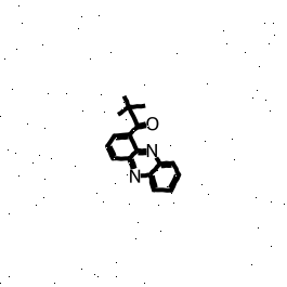 CC(C)(C)C(=O)c1cccc2nc3ccccc3nc12